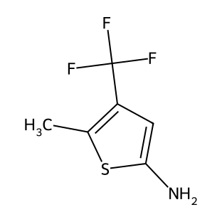 Cc1sc(N)cc1C(F)(F)F